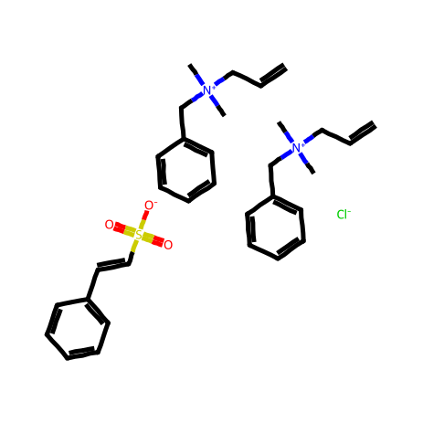 C=CC[N+](C)(C)Cc1ccccc1.C=CC[N+](C)(C)Cc1ccccc1.O=S(=O)([O-])C=Cc1ccccc1.[Cl-]